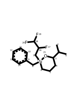 CC(C)C1CCC[Si](Cc2ccccc2)(CC(F)C(F)F)O1